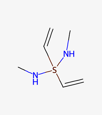 C=CS(C=C)(NC)NC